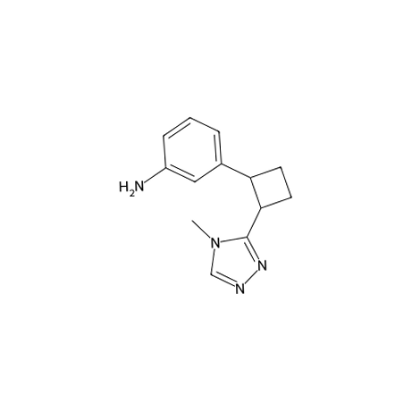 Cn1cnnc1C1CCC1c1cccc(N)c1